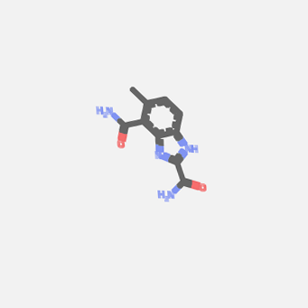 Cc1ccc2[nH]c(C(N)=O)nc2c1C(N)=O